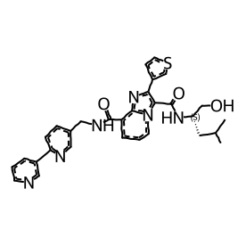 CC(C)C[C@@H](CO)NC(=O)c1c(-c2ccsc2)nc2c(C(=O)NCc3ccc(-c4cccnc4)nc3)cccn12